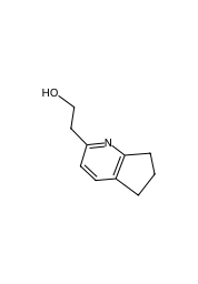 OCCc1ccc2c(n1)CCC2